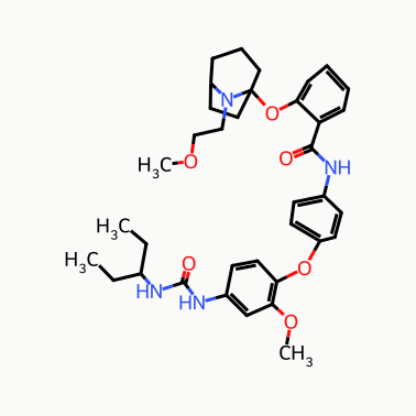 CCC(CC)NC(=O)Nc1ccc(Oc2ccc(NC(=O)c3ccccc3OC34CCCC(CC3)N4CCOC)cc2)c(OC)c1